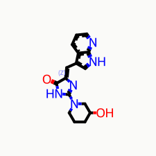 O=C1NC(N2CCCC(O)C2)=N/C1=C\c1c[nH]c2ncccc12